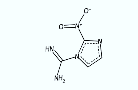 N=C(N)n1ccnc1[N+](=O)[O-]